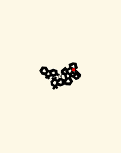 CC1(C)CCC(C)(C)c2c(N(c3ccc4c(c3)C(C)(C)c3ccccc3-4)c3ccc(-c4ccccc4)c4c3-c3ccccc3C43C4CC5CC6CC3C64C5)cccc21